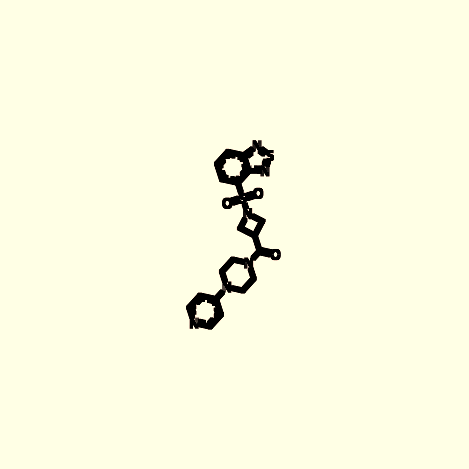 O=C(C1CN(S(=O)(=O)c2cccc3nsnc23)C1)N1CCN(c2ccncc2)CC1